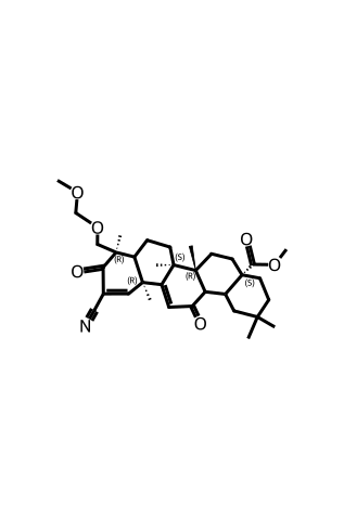 COCOC[C@]1(C)C(=O)C(C#N)=C[C@]2(C)C3=CC(=O)C4C5CC(C)(C)CC[C@]5(C(=O)OC)CC[C@@]4(C)[C@]3(C)CCC21